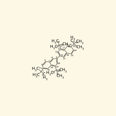 CC(C)(C)c1ccc2cc(-c3[c]c(C(C)(C)C)c4cc(C(C)(C)C)ccc4c3)[c]c(C(C)(C)C)c2c1